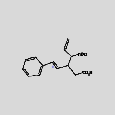 C=CC(CCCCCCCC)C(/C=C/c1ccccc1)CC(=O)O